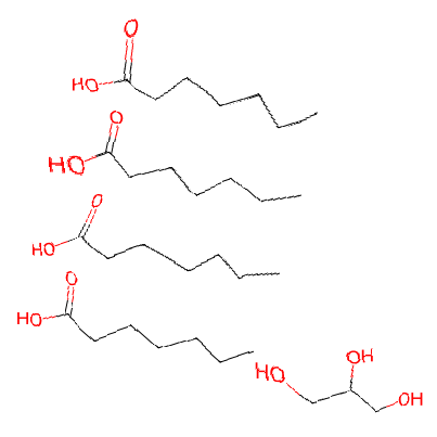 CCCCCCC(=O)O.CCCCCCC(=O)O.CCCCCCC(=O)O.CCCCCCC(=O)O.OCC(O)CO